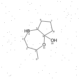 CC1CCBC2CCCC2(O)O1